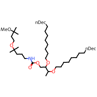 CCCCCCCCCCCCCCCCCCOC(C)C(COC(=O)NCCCC(C)(C)OCCC(C)(C)OC)OCCCCCCCCCCCCCCCCCC